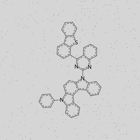 c1ccc(-n2c3ccccc3c3c4c5ccccc5n(-c5nc(-c6cccc7c6sc6ccccc67)c6ccccc6n5)c4ccc32)cc1